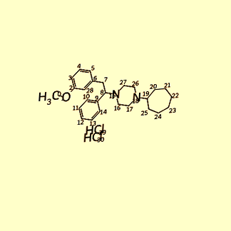 COc1cccc(CC(c2ccccc2)N2CCN(C3CCCCCC3)CC2)c1.Cl.Cl